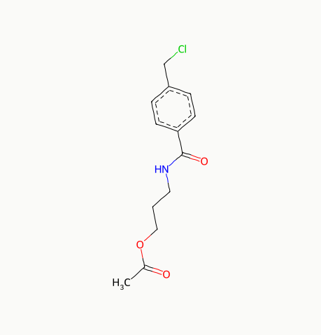 CC(=O)OCCCNC(=O)c1ccc(CCl)cc1